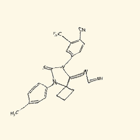 Cc1ccc(N2C(=S)N(c3ccc(C#N)c(C(F)(F)F)c3)/C(=N/C=N)C23CCC3)cc1